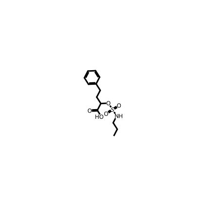 CCCNS(=O)(=O)OC(CCc1ccccc1)C(=O)O